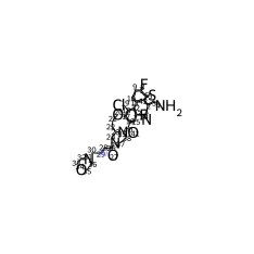 N#Cc1c(N)sc2c(F)ccc(-c3c(F)cc4c(c3Cl)OCCC3CN(C(=O)/C=C/CN5CCOCC5)CCN3C4=O)c12